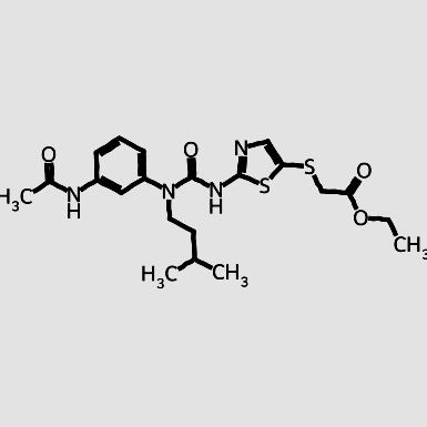 CCOC(=O)CSc1cnc(NC(=O)N(CCC(C)C)c2cccc(NC(C)=O)c2)s1